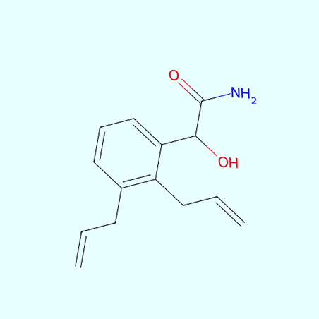 C=CCc1cccc(C(O)C(N)=O)c1CC=C